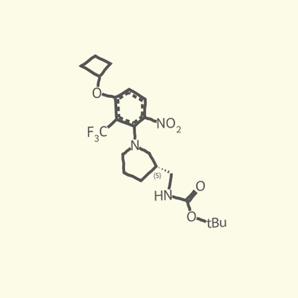 CC(C)(C)OC(=O)NC[C@@H]1CCCN(c2c([N+](=O)[O-])ccc(OC3CCC3)c2C(F)(F)F)C1